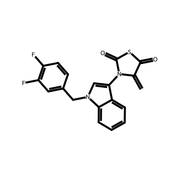 C=C1C(=O)SC(=O)N1c1cn(Cc2ccc(F)c(F)c2)c2ccccc12